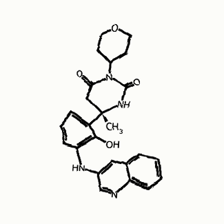 C[C@@]1(c2cccc(Nc3cnc4ccccc4c3)c2O)CC(=O)N(C2CCOCC2)C(=O)N1